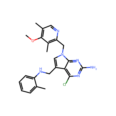 COc1c(C)cnc(Cn2cc(CNc3ccccc3C)c3c(Cl)nc(N)nc32)c1C